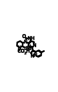 Cc1ccn2ncc(-c3ncc4[nH]c(=O)n(C5CCCN(C(=O)O)C5C(C)(C)C)c4n3)c2c1